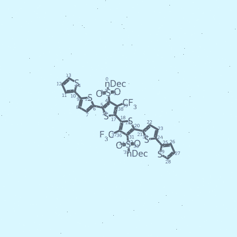 CCCCCCCCCCS(=O)(=O)c1c(-c2ccc(-c3cccs3)s2)sc(-c2sc(-c3ccc(-c4cccs4)s3)c(S(=O)(=O)CCCCCCCCCC)c2C(F)(F)F)c1C(F)(F)F